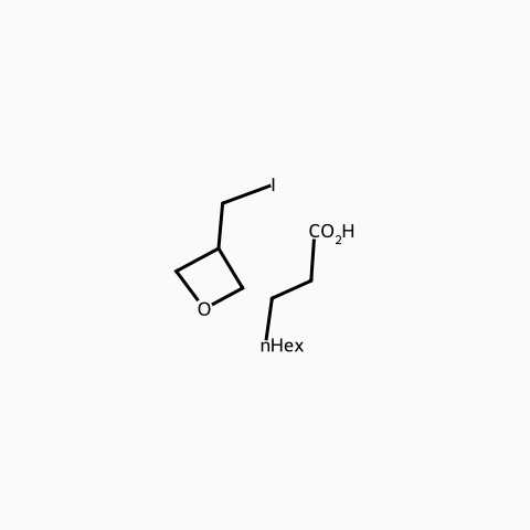 CCCCCCCCC(=O)O.ICC1COC1